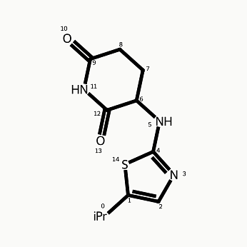 CC(C)c1cnc(NC2CCC(=O)NC2=O)s1